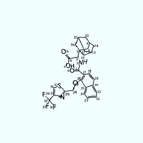 O=C(N[C@H](C(=O)O)C12CC3CC(CC(C3)C1)C2)c1ccc2ccccc2c1OCc1nc(C(F)(F)F)cs1